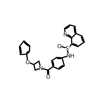 O=C(c1ccc(N[S+]([O-])c2cccc3cccnc23)cc1)N1CC(Oc2ccccc2)C1